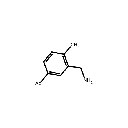 CC(=O)c1ccc(C)c(CN)c1